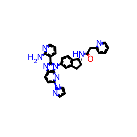 Nc1ncccc1-c1nc2ccc(-n3cccn3)nc2n1-c1ccc2c(c1)CC[C@@H]2NC(=O)Cc1ccccn1